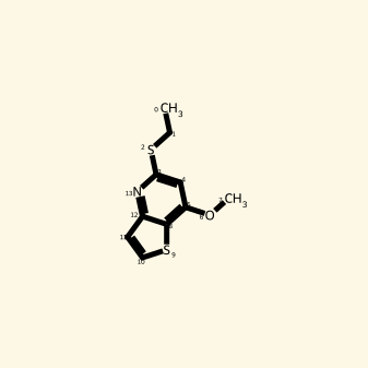 CCSc1cc(OC)c2sccc2n1